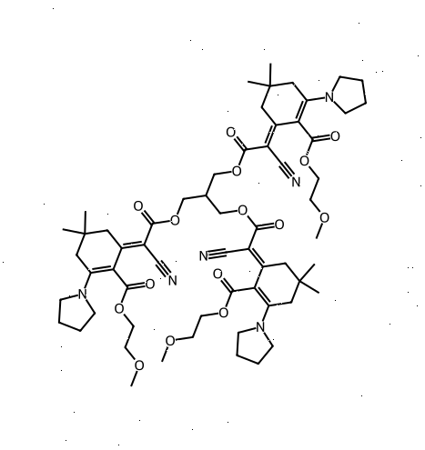 COCCOC(=O)C1=C(N2CCCC2)CC(C)(C)C/C1=C(/C#N)C(=O)OCC(COC(=O)/C(C#N)=C1\CC(C)(C)CC(N2CCCC2)=C1C(=O)OCCOC)COC(=O)/C(C#N)=C1\CC(C)(C)CC(N2CCCC2)=C1C(=O)OCCOC